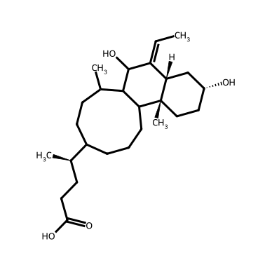 C/C=C1/C(O)C2C(C)CCC([C@H](C)CCC(=O)O)CCCC2[C@@]2(C)CC[C@@H](O)C[C@@H]12